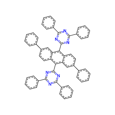 c1ccc(-c2ccc3c(-c4nc(-c5ccccc5)nc(-c5ccccc5)n4)c4cc(-c5ccccc5)ccc4c(-c4nc(-c5ccccc5)nc(-c5ccccc5)n4)c3c2)cc1